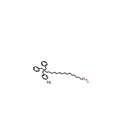 I.PCCCCCCCCCCCCCCCC(Cc1ccccc1)(Cc1ccccc1)Cc1ccccc1